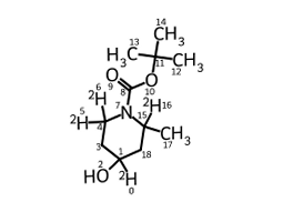 [2H]C1(O)CC([2H])([2H])N(C(=O)OC(C)(C)C)C([2H])(C)C1